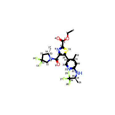 CCOC(=O)c1nc(C(=O)N2CC(F)(F)C[C@@H]2C)c(-c2cnc(N[C@@H](C)C(F)(F)F)cc2C)s1